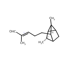 C/C(C=O)=C\CC[C@]1(C)C2CC3C(C2)C31C